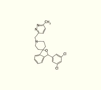 Cc1ccc(CN2CCC3(CC2)OC(c2cc(Cl)cc(Cl)c2)c2ccccc23)nn1